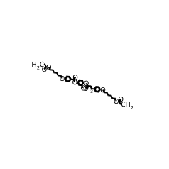 C=CC(=O)OCCCCCCOc1ccc(/C=C/C(=O)Oc2ccc(OC(=O)c3ccc(OCCCCCCOC(=O)C=C)cc3)cc2C)cc1